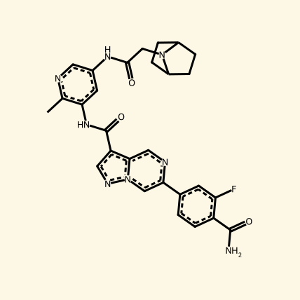 Cc1ncc(NC(=O)CN2C3CCC2CC3)cc1NC(=O)c1cnn2cc(-c3ccc(C(N)=O)c(F)c3)ncc12